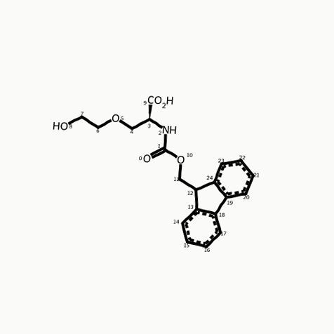 O=C(N[C@@H](COCCO)C(=O)O)OCC1c2ccccc2-c2ccccc21